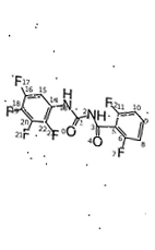 O=C(NC(=O)c1c(F)cccc1F)Nc1cc(F)c(F)c(F)c1F